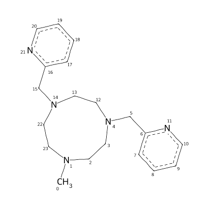 CN1CCN(Cc2ccccn2)CCN(Cc2ccccn2)CC1